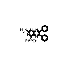 CCN(CC)c1nc(N)nc2nc(-c3ccccc3)c(-c3ccccc3)nc12